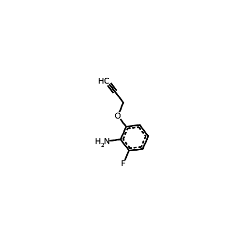 C#CCOc1cccc(F)c1N